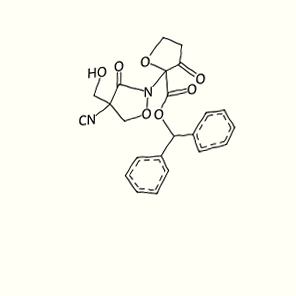 [C-]#[N+]C1(CO)CON(C2(C(=O)OC(c3ccccc3)c3ccccc3)OCCC2=O)C1=O